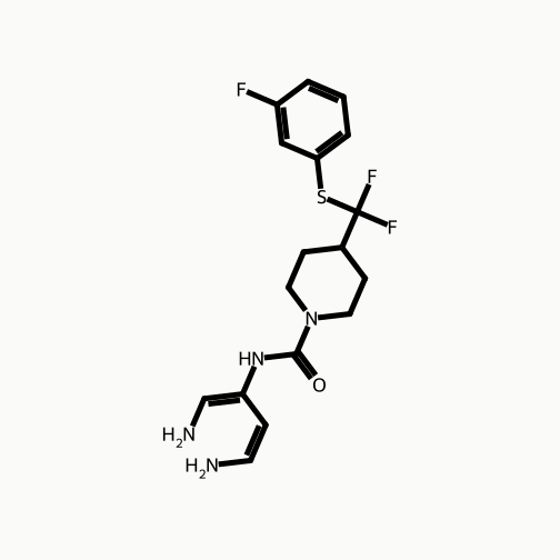 N/C=C\C(=C/N)NC(=O)N1CCC(C(F)(F)Sc2cccc(F)c2)CC1